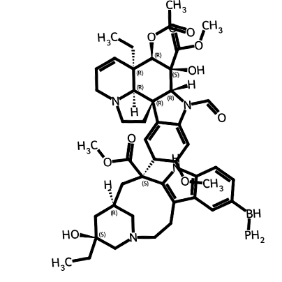 CC[C@]1(O)C[C@@H]2CN(CCc3c([nH]c4ccc(BP)cc34)[C@@](C(=O)OC)(C3C=C4C(=CC3OC)N(C=O)[C@H]3[C@@](O)(C(=O)OC)[C@H](OC(C)=O)[C@]5(CC)C=CCN6CC[C@]43[C@@H]65)C2)C1